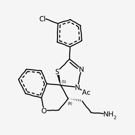 CC(=O)N1N=C(c2cccc(Cl)c2)S[C@@]12c1ccccc1OC[C@H]2CCN